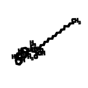 CCCCCCCCCCCCCCCCCC(=O)NC(CC(C)[C@H]1CC[C@H]2[C@@H]3CCC4CCCC[C@]4(C)[C@H]3CC[C@]12C)C(=O)O